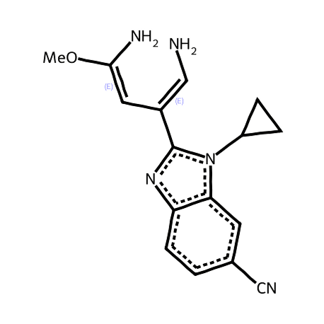 CO/C(N)=C/C(=C\N)c1nc2ccc(C#N)cc2n1C1CC1